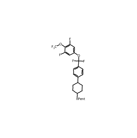 CCCCCC1CCC(c2ccc(C(F)(F)Oc3cc(F)c(OC(F)(F)F)c(F)c3)cc2)CC1